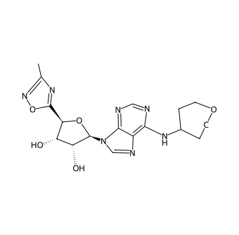 Cc1noc([C@H]2O[C@@H](n3cnc4c(NC5CCOCC5)ncnc43)[C@H](O)[C@@H]2O)n1